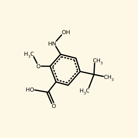 COc1c(NO)cc(C(C)(C)C)cc1C(=O)O